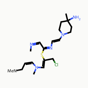 C\N=C/C(=N\C=C\N1CCC(C)(N)CC1)S/C(=C\N(C)/C=C\CNC)CCl